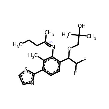 CCC/C(C)=N\c1c(C(OCC(C)(C)O)C(F)F)ccc(-c2nccs2)c1C